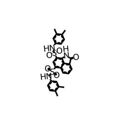 Cc1ccc(NS(=O)(=O)c2cc(S(=O)(=O)Nc3ccc(C)c(C)c3)c3cccc4c3c2NC4=O)cc1C